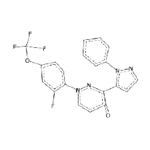 O=c1ccn(-c2ccc(OC(F)(F)F)cc2F)nc1-c1ccnn1-c1ccccc1